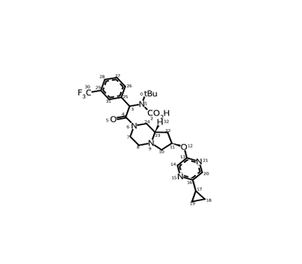 CC(C)(C)N(C(=O)O)C(C(=O)N1CCN2C[C@H](Oc3cnc(C4CC4)cn3)C[C@H]2C1)c1cccc(C(F)(F)F)c1